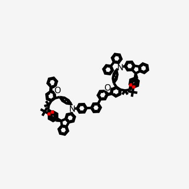 CC(C)(C)c1ccc(C23c4ccc(cc4)C(C)(C)c4ccc5c(oc6ccccc65)c4-c4ccc(cc4)N(c4ccc(-c5cccc(-c6ccc7oc8c9c(ccc8c7c6)C(C)(C)c6ccc(cc6)C6(c7ccc(C(C)(C)C)cc7)c7ccccc7-c7ccc(cc76)N(c6ccccc6-c6ccccc6)c6ccc-9cc6)c5)cc4)c4ccc(c2c4)-c2ccccc23)cc1